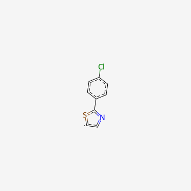 Clc1ccc(-c2nc[c]s2)cc1